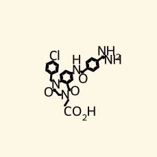 N=C(N)c1ccc(C(=O)Nc2ccc3c(c2)C(=O)N(CCC(=O)O)CC(=O)N3Cc2ccc(Cl)cc2)cc1